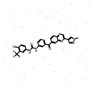 Cn1cc(-c2cnc3ccc(C(=O)c4cccc(NC(=O)Nc5ccc(Cl)c(C(F)(F)F)c5)c4)cc3n2)cn1